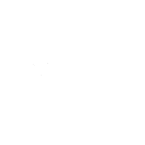 C[C@H](CCc1ccc(C#CCCc2ccccc2)s1)C(N)O